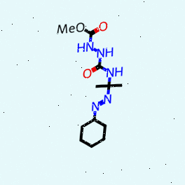 COC(=O)NNC(=O)NC(C)(C)N=NC1CCCCC1